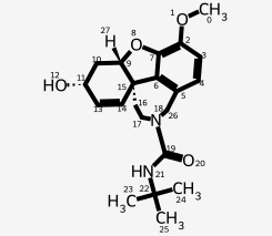 COc1ccc2c3c1O[C@H]1C[C@@H](O)C=C[C@]31CCN(C(=O)NC(C)(C)C)C2